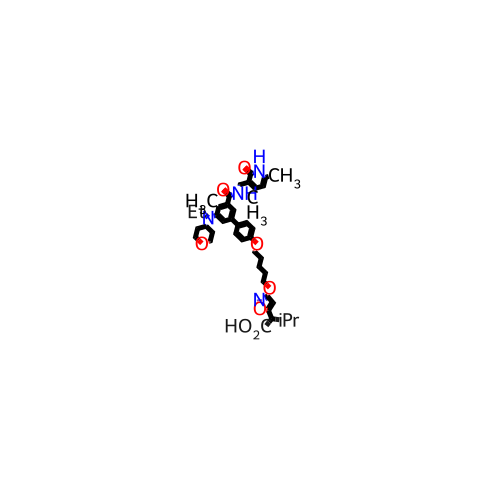 CCN(c1cc(-c2ccc(OCCCCCOc3cc(C(C(=O)O)C(C)C)on3)cc2)cc(C(=O)NCc2c(C)cc(C)[nH]c2=O)c1C)C1CCOCC1